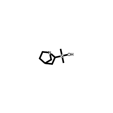 C[Si](C)(O)C1CC2CCN1C2